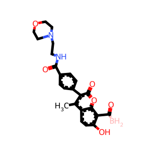 BC(=O)c1c(O)ccc2c(C)c(-c3ccc(C(=O)NCCN4CCOCC4)cc3)c(=O)oc12